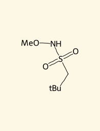 CONS(=O)(=O)CC(C)(C)C